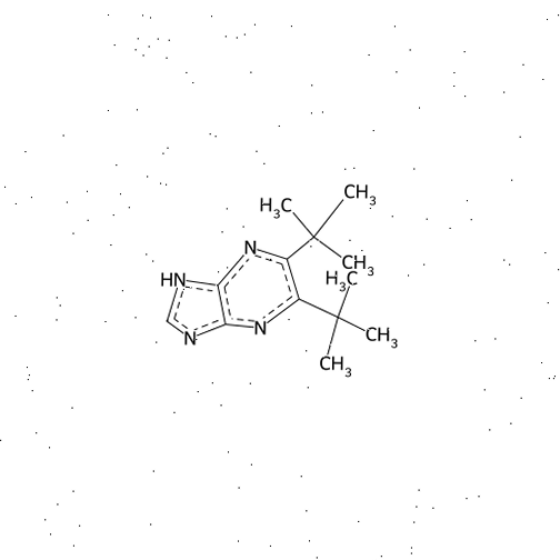 CC(C)(C)c1nc2nc[nH]c2nc1C(C)(C)C